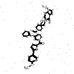 COc1ccc(-c2ccc(C(=O)N3CC[C@@H](C(=O)N4CCC(O)(Cn5cnc6c(ccn6C)c5=O)CC4)[C@H](c4ccccc4)C3)s2)cn1